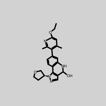 CCOc1cc(C)c(-c2ccc3c(c2)NC(O)c2cnn([C@H]4CCOC4)c2-3)c(C)n1